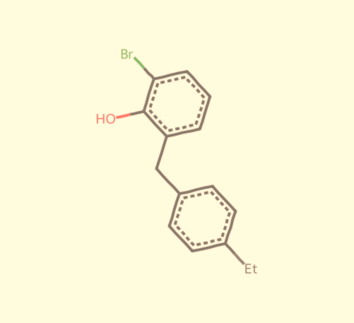 CCc1ccc(Cc2cccc(Br)c2O)cc1